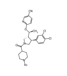 CC(=O)N1CCC(C(=O)N2C[C@H]([C@H](C)Oc3ccc(C#N)cn3)[C@@H](c3ccc(Cl)c(Cl)c3)C2)CC1